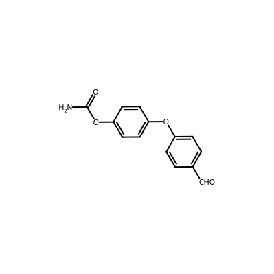 NC(=O)Oc1ccc(Oc2ccc(C=O)cc2)cc1